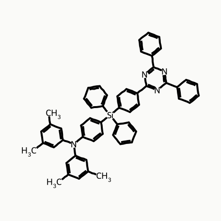 Cc1cc(C)cc(N(c2ccc([Si](c3ccccc3)(c3ccccc3)c3ccc(-c4nc(-c5ccccc5)nc(-c5ccccc5)n4)cc3)cc2)c2cc(C)cc(C)c2)c1